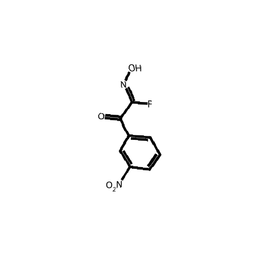 O=C(C(F)=NO)c1cccc([N+](=O)[O-])c1